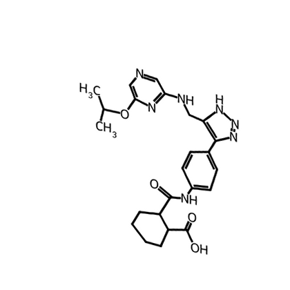 CC(C)Oc1cncc(NCc2[nH]nnc2-c2ccc(NC(=O)C3CCCCC3C(=O)O)cc2)n1